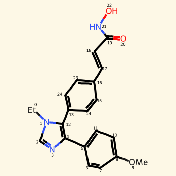 CCn1cnc(-c2ccc(OC)cc2)c1-c1ccc(/C=C/C(=O)NO)cc1